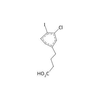 O=C(O)CCCc1ccc(I)c(Cl)c1